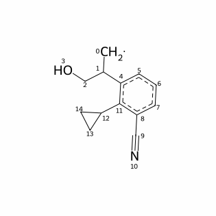 [CH2]C(CO)c1cccc(C#N)c1C1CC1